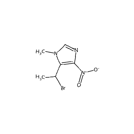 CC(Br)c1c([N+](=O)[O-])ncn1C